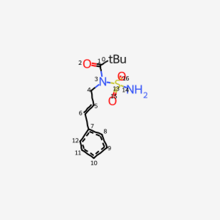 CC(C)(C)C(=O)N(CC=Cc1ccccc1)S(N)(=O)=O